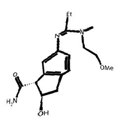 CCC(=Nc1ccc2c(c1)[C@@H](C(N)=O)[C@H](O)C2)N(C)CCOC